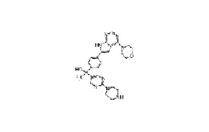 OC(c1ccc(-c2cc3c(N4CCOCC4)ncnc3[nH]2)cc1)(c1cnc(N2CCNCC2)nc1)C(F)(F)F